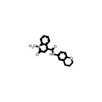 Cn1c(=O)cc(C(=O)Nc2ccc3c(c2)CCCO3)c2ccccc21